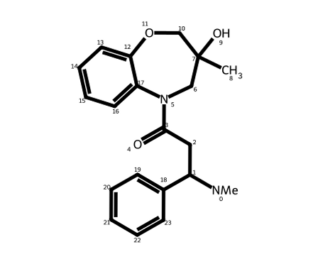 CNC(CC(=O)N1CC(C)(O)COc2ccccc21)c1ccccc1